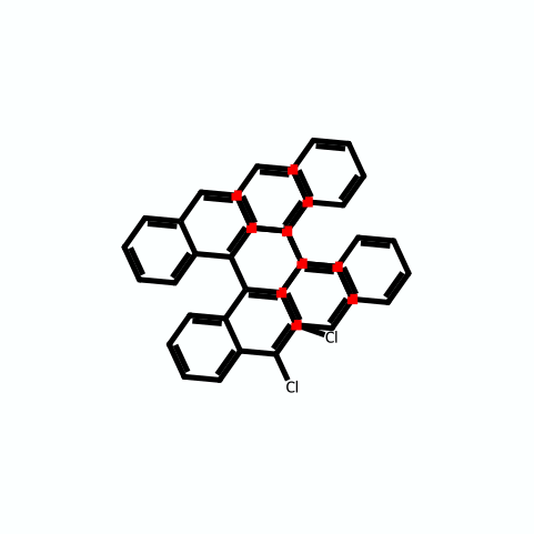 Clc1c(P(c2ccccc2)c2ccccc2)c(-c2c(P(c3ccccc3)c3ccccc3)ccc3ccccc23)c2ccccc2c1Cl